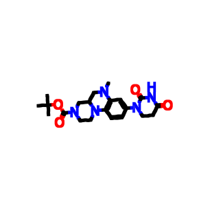 CN1CC2CN(C(=O)OC(C)(C)C)CCN2c2ccc(N3CCC(=O)NC3=O)cc21